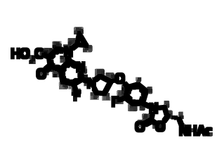 CC(=O)NC[C@H]1CN(c2ccc(O[C@H]3CCN(c4nc5c(cc4F)c(=O)c(C(=O)O)cn5C4CC4)C3)c(F)c2)C(=O)O1